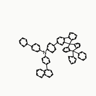 c1ccc(-c2ccc(N(c3ccc(-c4ccc5c(c4)C4(c6ccccc6-5)c5ccccc5C(c5ccccc5)(c5ccccc5)c5ccccc54)cc3)c3ccc(-c4cccc5ccccc45)cc3)cc2)cc1